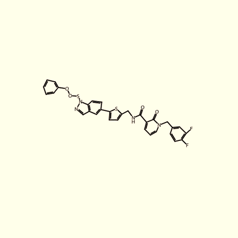 O=C(NCc1ccc(-c2ccc3c(cnn3SOOc3ccccc3)c2)s1)c1cccn(Cc2ccc(F)c(F)c2)c1=O